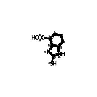 O=C(O)c1cccc2[nH]c(S)nc12